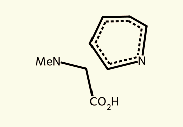 CNCC(=O)O.c1ccncc1